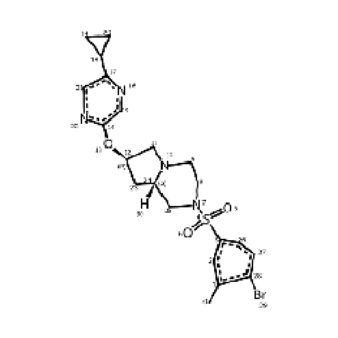 Cc1cc(S(=O)(=O)N2CCN3C[C@H](Oc4cnc(C5CC5)cn4)C[C@H]3C2)ccc1Br